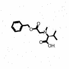 CC(C)[C@@H](C(=O)O)N(C)CC(=O)OCc1ccccc1